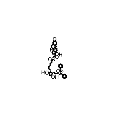 CC12CCC(=O)C=C1CC[C@@H]1C2=CCC2(C)[C@H]1CC[C@]2(O)C(=O)COC(=O)CCC/C=C\C[C@@H]1[C@@H](/C=C/[C@H](CCc2ccccc2)OC(=O)c2ccccc2)[C@H](O)C[C@@H]1O